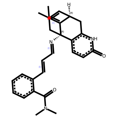 C/C=C1\[C@H]2C=C(C)C[C@]1(/N=C/C=C/c1ccccc1C(=O)N(C)C)c1ccc(=O)[nH]c1C2